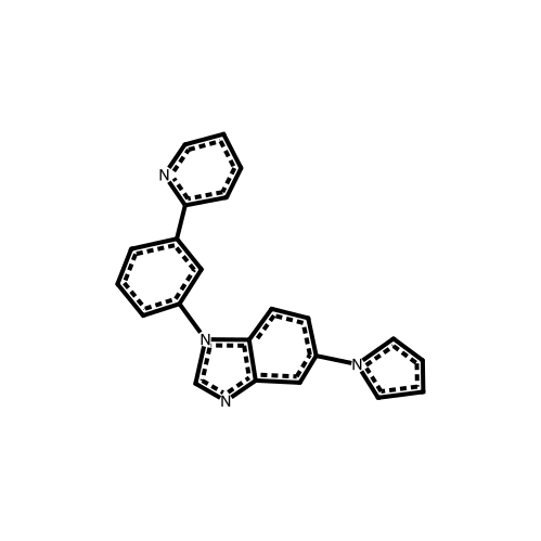 c1ccc(-c2cccc(-n3cnc4cc(-n5cccc5)ccc43)c2)nc1